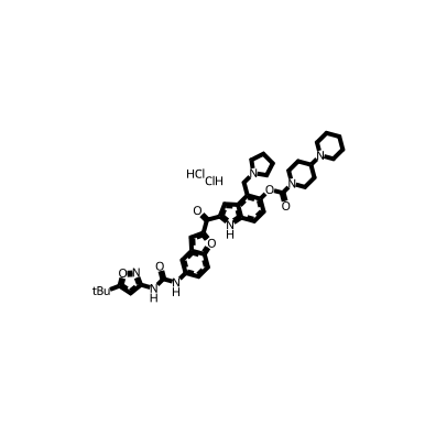 CC(C)(C)c1cc(NC(=O)Nc2ccc3oc(C(=O)c4cc5c(CN6CCCC6)c(OC(=O)N6CCC(N7CCCCC7)CC6)ccc5[nH]4)cc3c2)no1.Cl.Cl